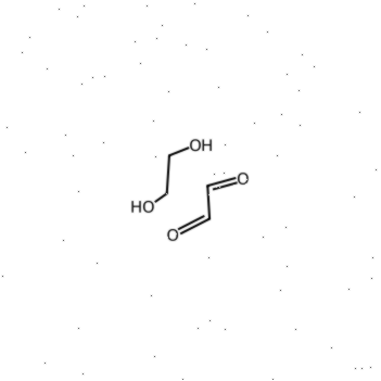 O=CC=O.OCCO